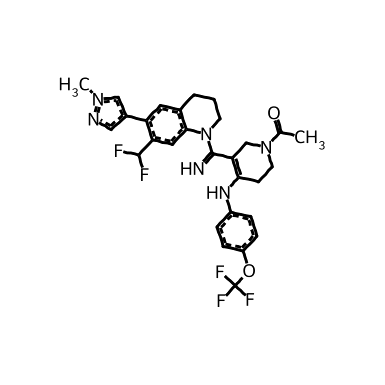 CC(=O)N1CCC(Nc2ccc(OC(F)(F)F)cc2)=C(C(=N)N2CCCc3cc(-c4cnn(C)c4)c(C(F)F)cc32)C1